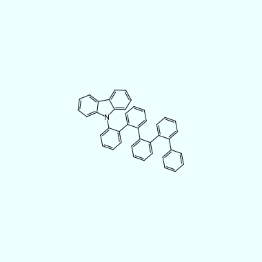 c1ccc(-c2ccccc2-c2ccccc2-c2ccccc2-c2ccccc2-n2c3ccccc3c3ccccc32)cc1